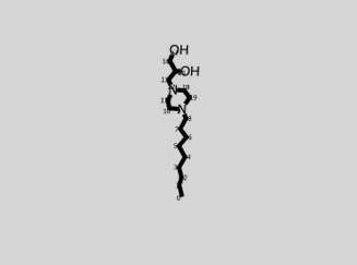 CCCCCCCCCN1CCN(CC(O)CO)CC1